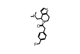 CN(C)CC1c2ccsc2CCN1C(=O)Cc1ccc(CF)cc1